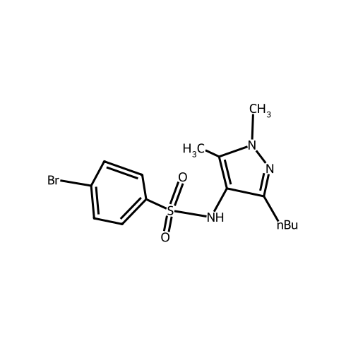 CCCCc1nn(C)c(C)c1NS(=O)(=O)c1ccc(Br)cc1